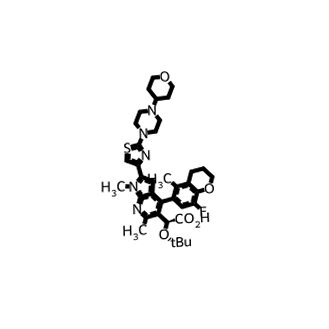 Cc1nc2c(cc(-c3csc(N4CCN(C5CCOCC5)CC4)n3)n2C)c(-c2cc(F)c3c(c2C)CCCO3)c1[C@H](OC(C)(C)C)C(=O)O